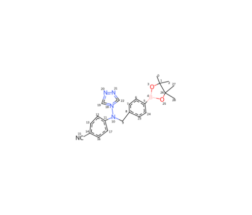 CC1(C)OB(c2ccc(CN(c3ccc(C#N)cc3)n3cnnc3)cc2)OC1(C)C